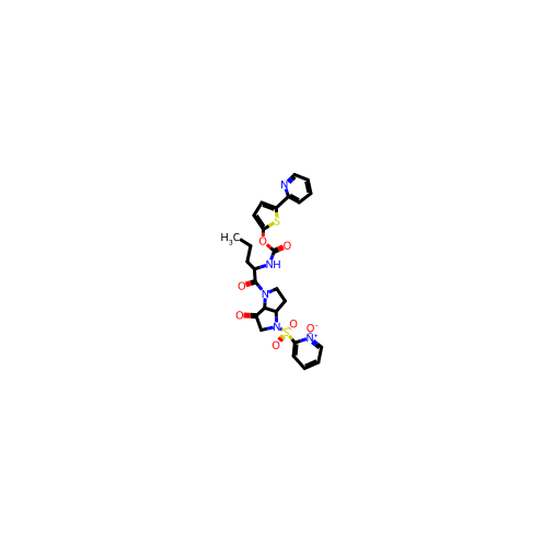 CCCC(NC(=O)Oc1ccc(-c2ccccn2)s1)C(=O)N1CCC2C1C(=O)CN2S(=O)(=O)c1cccc[n+]1[O-]